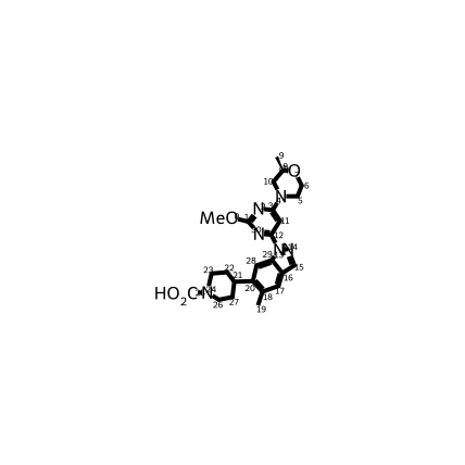 COc1nc(N2CCO[C@H](C)C2)cc(-n2ncc3cc(C)c(C4CCN(C(=O)O)CC4)cc32)n1